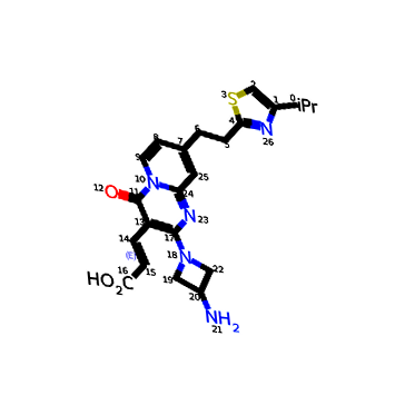 CC(C)c1csc(CCc2ccn3c(=O)c(/C=C/C(=O)O)c(N4CC(N)C4)nc3c2)n1